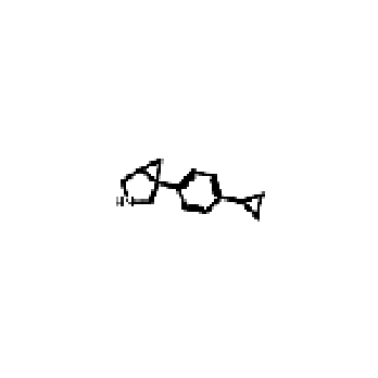 c1cc(C23CNCC2C3)ccc1C1CC1